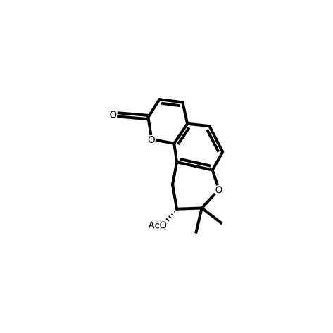 CC(=O)O[C@@H]1Cc2c(ccc3ccc(=O)oc23)OC1(C)C